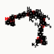 Cc1ccc(OCc2ccc(-c3ccc(COc4c(C)cc(Oc5c(C)cc(C(C)(C)c6cc(C)c(Oc7cc(C)c(OCc8ccc(-c9ccc(COc%10ccc(O)c(P%11(=O)Oc%12ccccc%12-c%12ccccc%12%11)c%10)cc9)cc8)c(C)c7)c(C)c6)cc5C)cc4C)cc3)cc2)c(P2(=O)Oc3ccccc3-c3ccccc32)c1